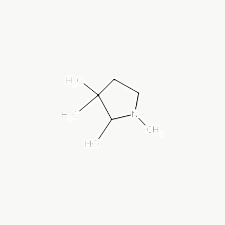 CN1CCC(C)(C)C1O